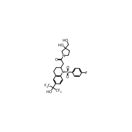 O=C(CC1CCc2cc(C(O)(C(F)(F)F)C(F)(F)F)ccc2N1S(=O)(=O)c1ccc(F)cc1)N1CCC(O)(CO)C1